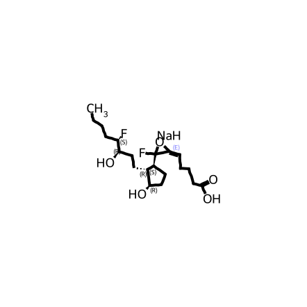 CCCC[C@H](F)[C@H](O)CC[C@H]1[C@H](O)CC[C@@H]1C1(F)O/C1=C/CCCC(=O)O.[NaH]